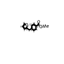 COC(=O)c1ccc(Cc2ccco2)cc1